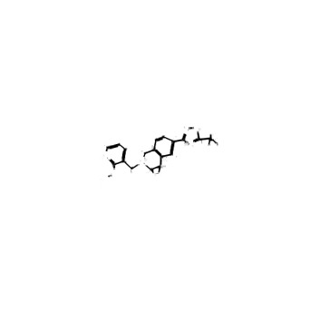 COc1ncccc1CN1Cc2ccc(-c3noc(C(F)(F)F)n3)cc2C2OC21